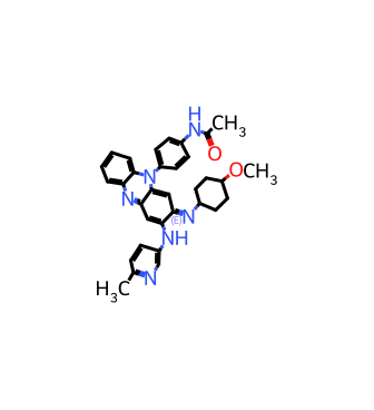 COC1CCC(/N=c2\cc3n(-c4ccc(NC(C)=O)cc4)c4ccccc4nc-3cc2Nc2ccc(C)nc2)CC1